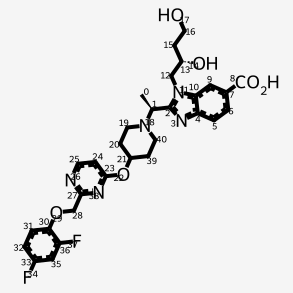 C[C@@H](c1nc2ccc(C(=O)O)cc2n1C[C@@H](O)CCO)N1CCC(Oc2ccnc(COc3ccc(F)cc3F)n2)CC1